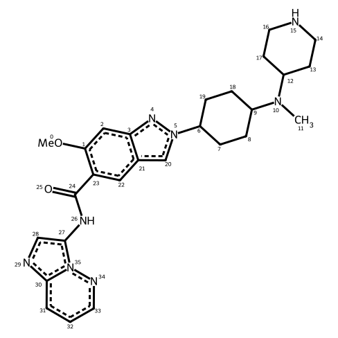 COc1cc2nn(C3CCC(N(C)C4CCNCC4)CC3)cc2cc1C(=O)Nc1cnc2cccnn12